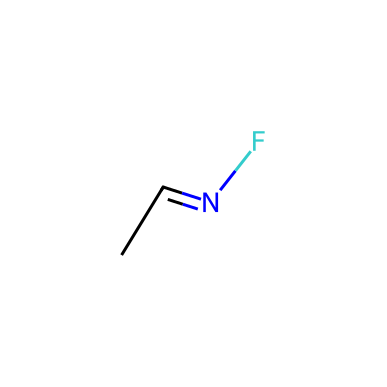 CC=NF